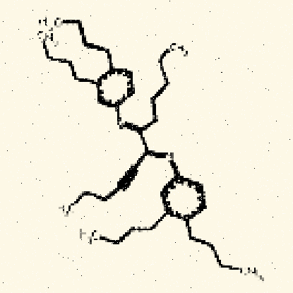 CCCC#CC(=Nc1ccc(CCCC)c(CCCC)c1)C(CCCCC)=Nc1ccc(CCCC)c(CCCC)c1